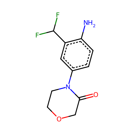 Nc1ccc(N2CCOCC2=O)cc1C(F)F